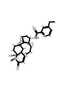 CCc1ccnc(C(=O)N[C@H]2CC[C@H]3[C@@H]4CC[C@H]5N(C)C(=O)C=C[C@]5(CCC[C@]23C)C4)c1